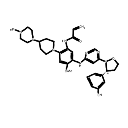 C=CC(=O)Nc1cc(Nc2cc(N3OCC[C@@H]3c3cccc(C#N)c3)ncn2)c(OC)cc1N1CCC(N2CCN(CCC)CC2)CC1